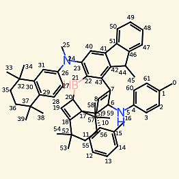 Cc1ccc(NC2C3=C[C@]2(c2ccccc2C)C24C(=CC2Bc2c(N(C)c5ccc6c(c5)C(C)(C)CCC6(C)C)cc5c(c23)C(C)c2ccccc2-5)C(C)(C)CCC4(C)C)cc1